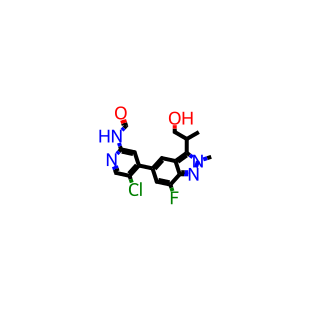 CC(CO)c1c2cc(-c3cc(NC=O)ncc3Cl)cc(F)c2nn1C